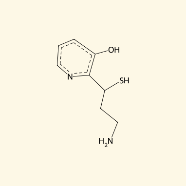 NCCC(S)c1ncccc1O